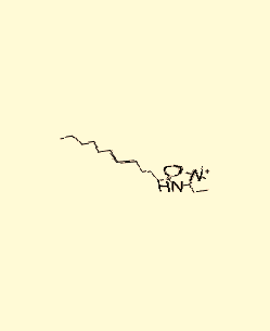 CCCCCCCCCCCC(=O)NC(CC)[N+](C)(C)C